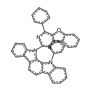 c1ccc(-c2nc(-n3c4ccccc4c4ccc5c6ccccc6n(-c6ccccc6)c5c43)nc3c2oc2ccccc23)cc1